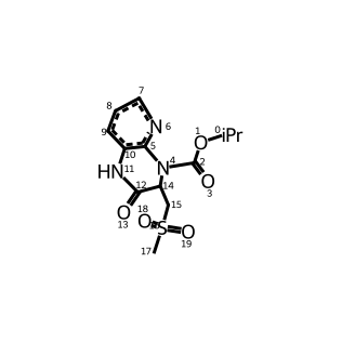 CC(C)OC(=O)N1c2ncccc2NC(=O)C1CS(C)(=O)=O